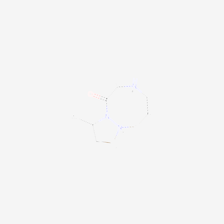 CC(=O)C1CSN2SCCNCC(=O)N12